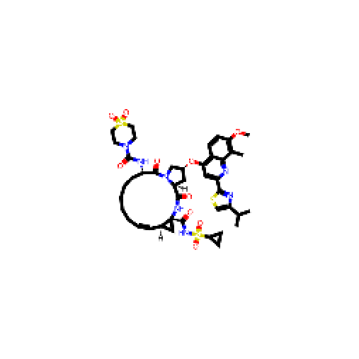 COc1ccc2c(O[C@@H]3C[C@H]4C(=O)N[C@]5(C(=O)NS(=O)(=O)C6CC6)C[C@H]5C=CCCCCC[C@H](NC(=O)N5CCS(=O)(=O)CC5)C(=O)N4C3)cc(-c3nc(C(C)C)cs3)nc2c1C